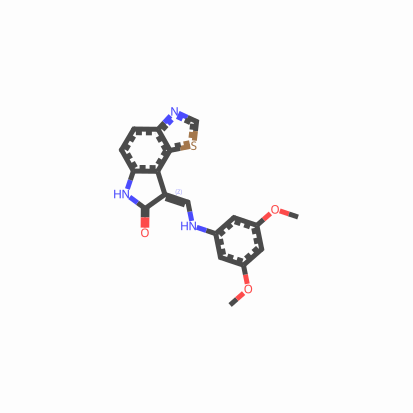 COc1cc(N/C=C2\C(=O)Nc3ccc4ncsc4c32)cc(OC)c1